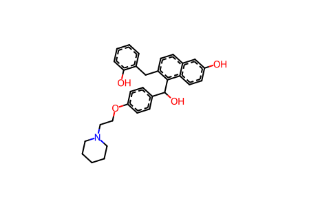 Oc1ccc2c(C(O)c3ccc(OCCN4CCCCC4)cc3)c(Cc3ccccc3O)ccc2c1